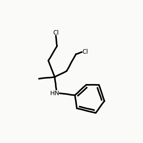 CC(CCCl)(CCCl)Nc1ccccc1